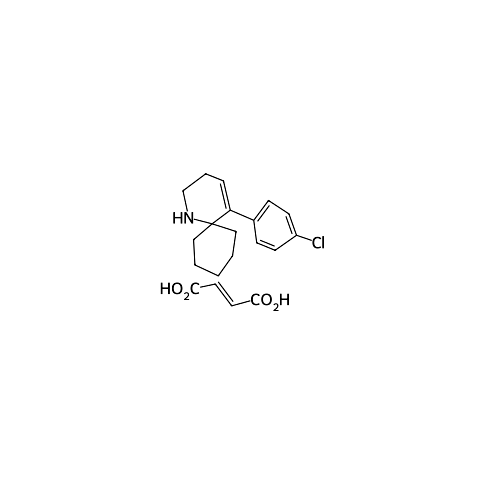 Clc1ccc(C2=CCCNC23CCCCC3)cc1.O=C(O)/C=C/C(=O)O